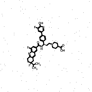 CC(C)[C@]1(F)CCc2nc3c(F)cc(C(=O)N[C@H](CCN4CCC(C(=O)O)CC4)c4ccc(-c5cnc(O)c(F)c5)cc4)cc3cc2C1